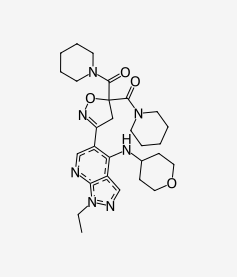 CCn1ncc2c(NC3CCOCC3)c(C3=NOC(C(=O)N4CCCCC4)(C(=O)N4CCCCC4)C3)cnc21